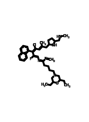 C=N\C(CCCCN1CC(CC)OC(CC)C1)=N/C=C(F)/C(=C(Cl)\C=C(/C)CC1CCC(CNC)N1)c1cccc2ccccc12